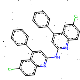 Clc1ccc2nc(Nc3cc(-c4ccccc4)c4cc(Cl)ccc4n3)cc(-c3ccccc3)c2c1